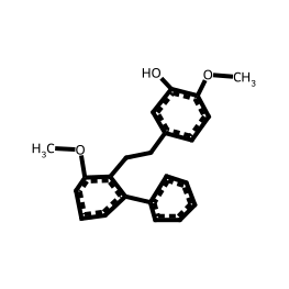 COc1ccc(CCc2c(OC)cccc2-c2ccccc2)cc1O